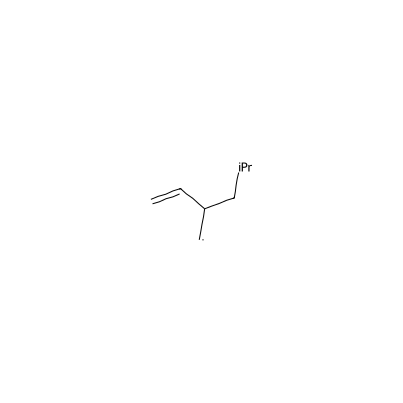 [CH2]C(C=C)CC(C)C